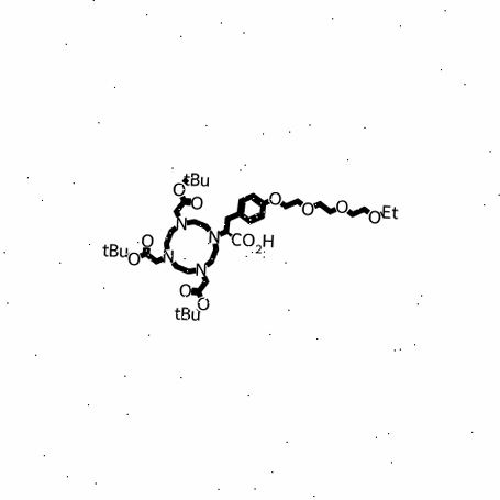 CCOCCOCCOCCOc1ccc(C[C@@H](C(=O)O)N2CCN(CC(=O)OC(C)(C)C)CCN(CC(=O)OC(C)(C)C)CCN(CC(=O)OC(C)(C)C)CC2)cc1